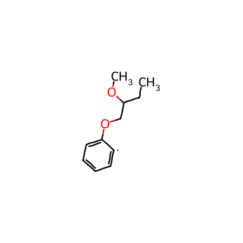 CCC(COc1[c]cccc1)OC